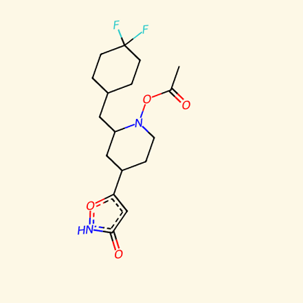 CC(=O)ON1CCC(c2cc(=O)[nH]o2)CC1CC1CCC(F)(F)CC1